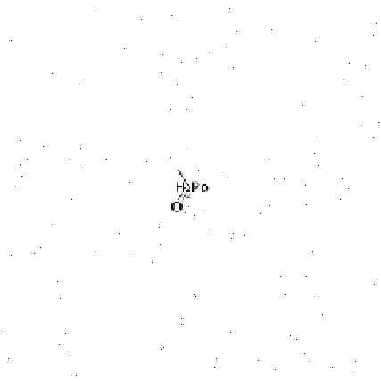 CC=O.[PoH2]